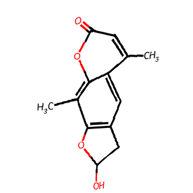 Cc1cc(=O)oc2c(C)c3c(cc12)CC(O)O3